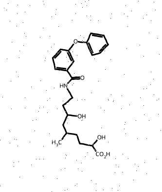 CC(CCC(O)C(=O)O)CC(O)CCNC(=O)c1cccc(Oc2ccccc2)c1